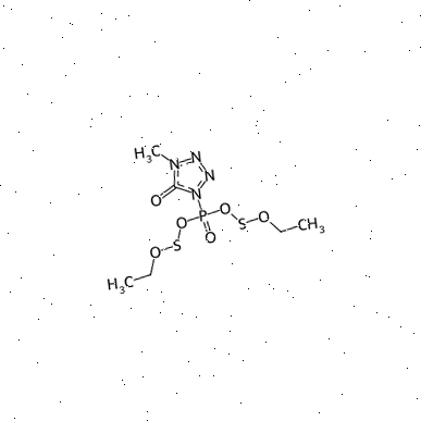 CCOSOP(=O)(OSOCC)n1nnn(C)c1=O